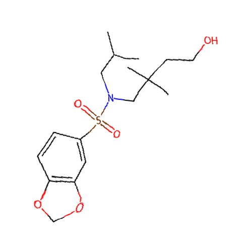 CC(C)CN(CC(C)(C)CCO)S(=O)(=O)c1ccc2c(c1)OCO2